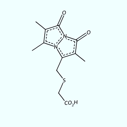 Cc1c(C)n2c(CSCC(=O)O)c(C)c(=O)n2c1=O